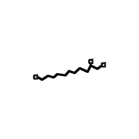 ClCCCCCCCCCC(Cl)CCl